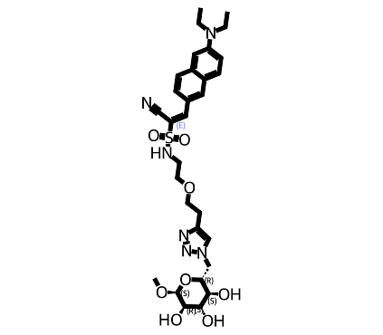 CCN(CC)c1ccc2cc(/C=C(\C#N)S(=O)(=O)NCCOCCc3cn(C[C@H]4O[C@H](OC)[C@H](O)[C@@H](O)[C@@H]4O)nn3)ccc2c1